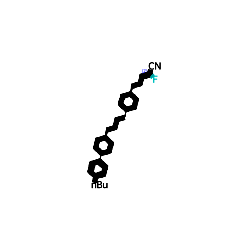 CCCCc1ccc([C@H]2CC[C@H](CCCC[C@H]3CC[C@H](CC/C=C(\F)C#N)CC3)CC2)cc1